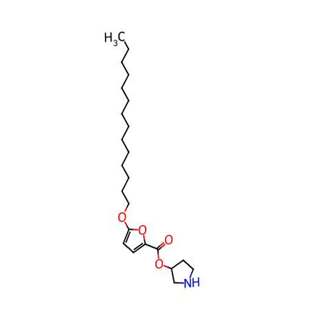 CCCCCCCCCCCCCCOc1ccc(C(=O)OC2CCNC2)o1